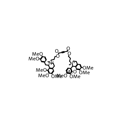 COc1ccc(CC2c3c(cc(OC)c(OC)c3OC)CC[N+]2(C)CCCOC(=O)C#CC(=O)OCCC[N+]2(C)CCc3cc(OC)c(OC)c(OC)c3C2c2ccc(OC)c(OC)c2)cc1OC